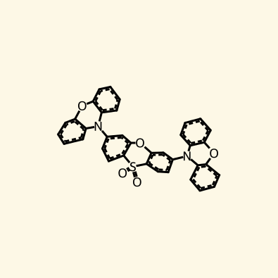 O=S1(=O)c2ccc(N3c4ccccc4Oc4ccccc43)cc2Oc2cc(N3c4ccccc4Oc4ccccc43)ccc21